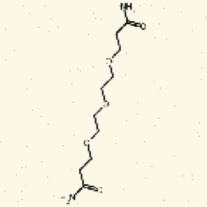 NC(=O)CCOCCOCCOCCC(N)=O